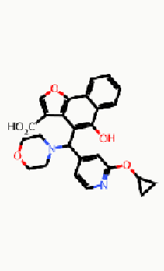 O=C(O)c1coc2c1c(C(c1ccnc(OC3CC3)c1)N1CCOCC1)c(O)c1ccccc12